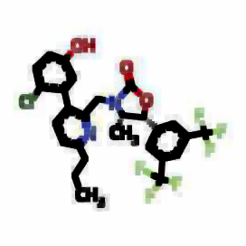 CCCc1ccc(-c2cc(O)ccc2Cl)c(CN2C(=O)O[C@H](c3cc(C(F)(F)F)cc(C(F)(F)F)c3)[C@@H]2C)n1